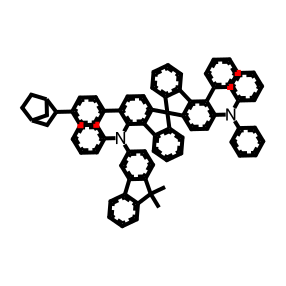 CC1(C)c2ccccc2-c2cc(N(c3ccccc3)c3c(-c4ccc(C5CC6CCC5C6)cc4)ccc4c3-c3ccccc3C43c4ccccc4-c4c3ccc(N(c3ccccc3)c3ccccc3)c4-c3ccccc3)ccc21